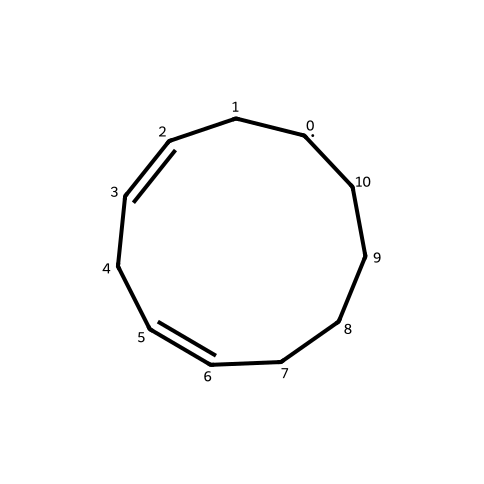 [CH]1CC=CCC=CCCCC1